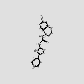 O=C(Nc1nnc(-c2ccncc2)[nH]1)N[C@@H]1CCOc2cc(Cl)ncc21